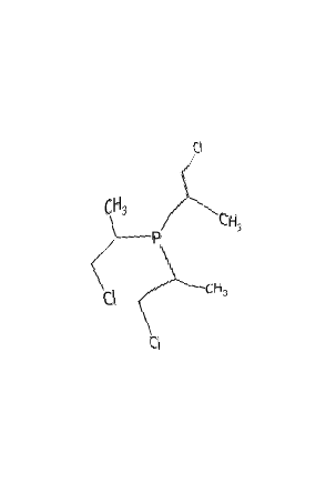 CC(CCl)P(C(C)CCl)C(C)CCl